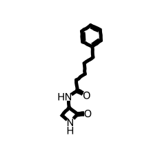 O=C(CCCCc1ccccc1)NC1CNC1=O